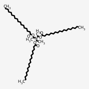 CCCCCCCCCCCCCCCCCC(=O)OC(C)N(C(C)OC(=O)CCCCCCCCCCCCCCCCC)C(C)OC(=O)CCCCCCCCCCCCCCCCC